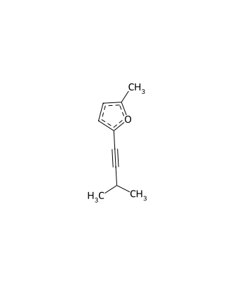 Cc1ccc(C#CC(C)C)o1